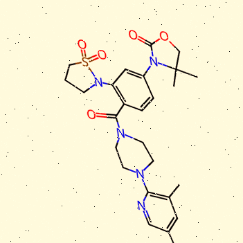 Cc1cnc(N2CCN(C(=O)c3ccc(N4C(=O)OCC4(C)C)cc3N3CCCS3(=O)=O)CC2)c(C)c1